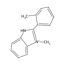 Cc1ccccc1-c1[nH]c2ccccc2[n+]1C